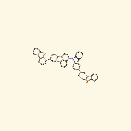 c1ccc2c(c1)sc1ccc(-c3ccc4c(c3)c3ccccc3n4-c3ccc4c5c(cccc35)-c3cc(-c5cccc6c5sc5ccccc56)ccc3-4)cc12